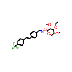 CCO[C@@H]1[C@@H](OC)[C@H](C)O[C@@H](ON=Cc2ccc(/C=C/c3ccc(C(F)(F)F)cc3)cc2)[C@@H]1OC